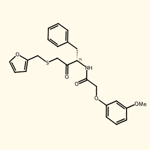 COc1cccc(OCC(=O)N[C@@H](Cc2ccccc2)C(=O)CSCc2ccco2)c1